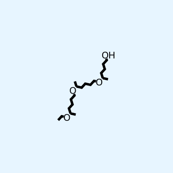 CCOC(C)CCCCOC(C)CCCCOC(C)CCCCO